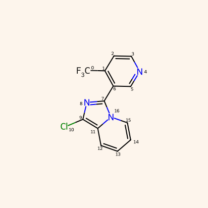 FC(F)(F)c1ccncc1-c1nc(Cl)c2ccccn12